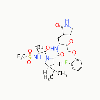 CC(C)(C)[C@H](NS(=O)(=O)C(F)(F)F)C(=O)N1C[C@H]2[C@@H]([C@H]1C(=O)N[C@@H](C[C@@H]1CCNC1=O)C(=O)COc1ccccc1F)C2(C)C